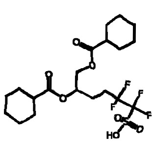 O=C(OCC(CCC(F)(F)C(F)(F)S(=O)(=O)O)OC(=O)C1CCCCC1)C1CCCCC1